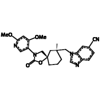 COc1cc(OC)c(N2C[C@@]3(CCC[C@](C)(Cn4cnc5ccc(C#N)cc54)C3)OC2=O)cn1